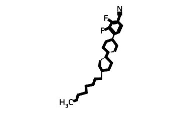 CCCCCCCC[C@H]1CC[C@H]([C@H]2CC[C@H](c3ccc(C#N)c(F)c3F)CC2)CC1